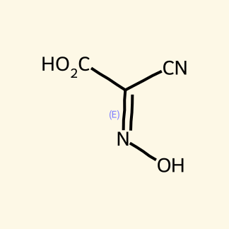 N#C/C(=N\O)C(=O)O